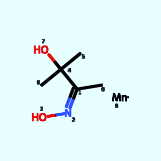 CC(=NO)C(C)(C)O.[Mn]